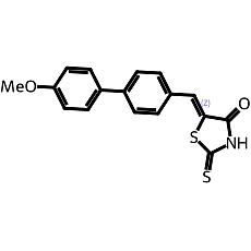 COc1ccc(-c2ccc(/C=C3\SC(=S)NC3=O)cc2)cc1